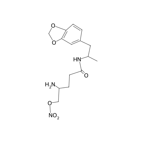 CC(Cc1ccc2c(c1)OCO2)NC(=O)CCC(N)CO[N+](=O)[O-]